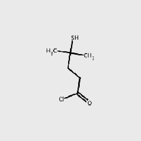 CC(C)(S)CCC(=O)Cl